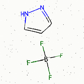 F[B-](F)(F)F.c1cn[nH]c1